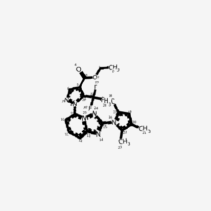 CCOC(=O)c1cnn(-c2cccc3nc(-n4c(C)cc(C)c4C)nn23)c1C(F)(F)F